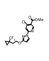 COC(=O)c1cnc(-n2ccc(OCCC3(C(F)(F)F)CC3)n2)cc1Cl